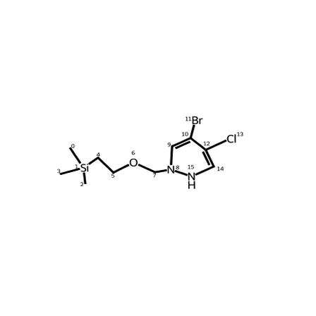 C[Si](C)(C)CCOCN1C=C(Br)C(Cl)=CN1